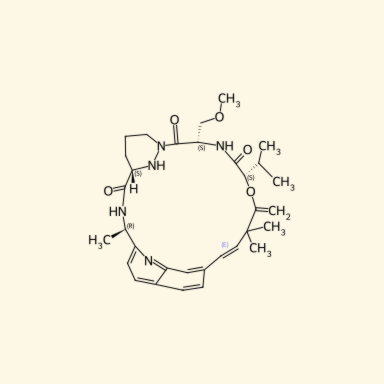 C=C1O[C@@H](C(C)C)C(=O)N[C@@H](COC)C(=O)N2CCC[C@H](N2)C(=O)N[C@H](C)c2ccc3ccc(cc3n2)/C=C/C1(C)C